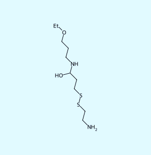 CCOCCCNC(O)CCSSCCN